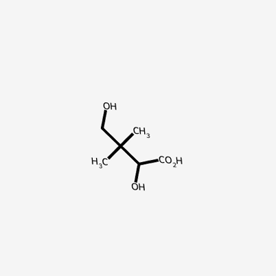 CC(C)(CO)C(O)C(=O)O